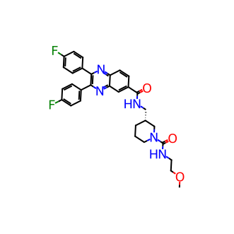 COCCNC(=O)N1CCC[C@H](CNC(=O)c2ccc3nc(-c4ccc(F)cc4)c(-c4ccc(F)cc4)nc3c2)C1